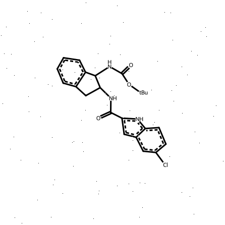 CC(C)(C)OC(=O)NC1c2ccccc2CC1NC(=O)c1cc2cc(Cl)ccc2[nH]1